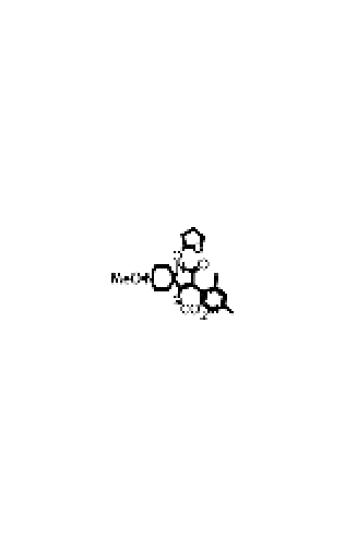 CCOC(=O)OC1=C(c2ccc(C)cc2C)C(=O)N(OC2CCCO2)C12CCN(OC)CC2